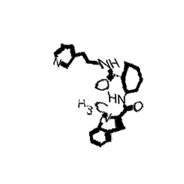 Cn1c(C(=O)N[C@H]2CCCC[C@H]2C(=O)NCCc2cccnc2)cc2ccccc21